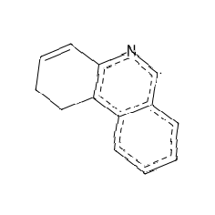 [c]1nc2c(c3ccccc13)CCC=C2